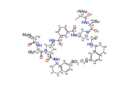 CN[C@@H](C)C(=O)N[C@H](C(=O)N1C[C@@H](NC(=O)c2cccc(C(=O)N[C@H]3C[C@@H](C(=O)NC4CCCc5ccc([N+](=O)[O-])cc54)N(C(=O)[C@@H](NC(=O)[C@H](C)NC)C(C)(C)C)C3)c2)C[C@H]1C(=O)NC1CCCc2ccc([N+](=O)[O-])cc21)C(C)(C)C